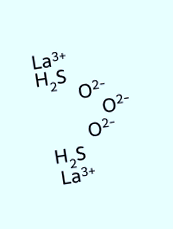 S.S.[La+3].[La+3].[O-2].[O-2].[O-2]